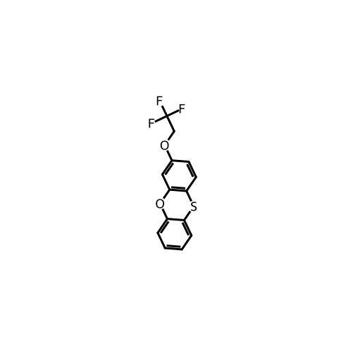 FC(F)(F)COc1ccc2c(c1)Oc1ccccc1S2